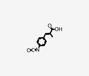 C/C(=C\c1ccc(N=C=O)cc1)C(=O)O